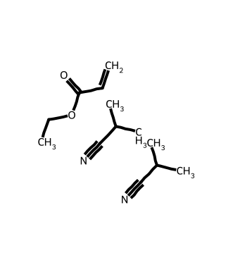 C=CC(=O)OCC.CC(C)C#N.CC(C)C#N